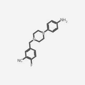 N#Cc1cc(CN2CCN(c3ccc(N)cc3)CC2)ccc1F